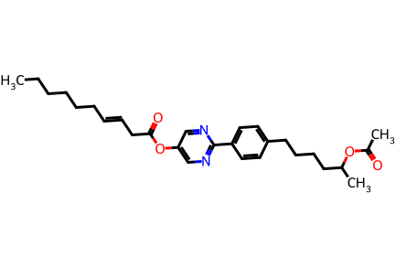 CCCCCCC=CCC(=O)Oc1cnc(-c2ccc(CCCCC(C)OC(C)=O)cc2)nc1